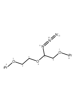 CC(C)OCCOC(COC(C)C)N=[N+]=[N-]